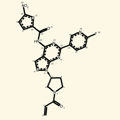 C=CC(=O)N1CC[C@H](n2ncc3c(NC(=O)c4ccc([N+](=O)[O-])s4)nc(-c4ccc(F)nc4)nc32)C1